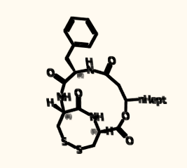 CCCCCCCC1CC(=O)N[C@H](Cc2ccccc2)C(=O)N[C@H]2CSSC[C@H](NC2=O)C(=O)O1